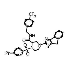 CC(C)c1ccc(S(=O)(=O)N2CCN(c3nc4c(s3)Cc3ccccc3-4)CC2C(=O)NCc2ccc(C(F)(F)F)cc2)cc1